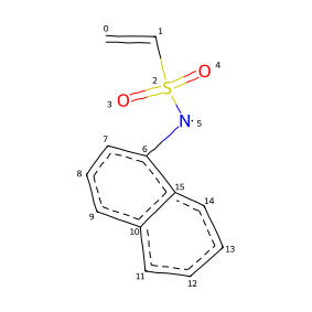 C=CS(=O)(=O)[N]c1cccc2ccccc12